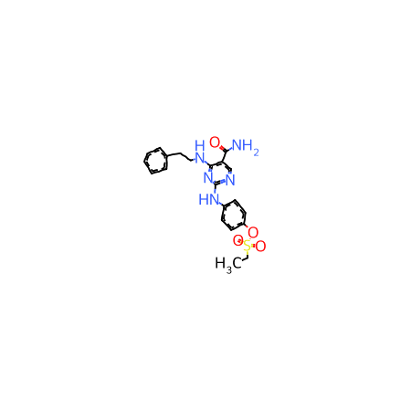 CCS(=O)(=O)Oc1ccc(Nc2ncc(C(N)=O)c(NCCc3ccccc3)n2)cc1